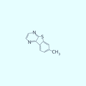 Cc1ccc2c(c1)sc1nccnc12